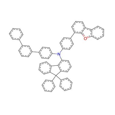 c1ccc(-c2cccc(-c3ccc(N(c4ccc(-c5cccc6c5oc5ccccc56)cc4)c4cccc5c4-c4ccccc4C5(c4ccccc4)c4ccccc4)cc3)c2)cc1